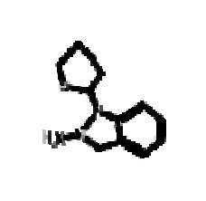 NN1Cc2c[c]ccc2N1C1CCCCO1